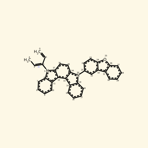 C=C/C(=C\C)n1c2ccccc2c2c3c4ccccc4n(-c4ccc5oc6ccccc6c5c4)c3ccc21